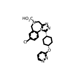 O=C(O)N1Cc2cc(Cl)ccc2-n2c(nnc2[C@H]2CC[C@@H](Oc3cccnn3)CC2)C1